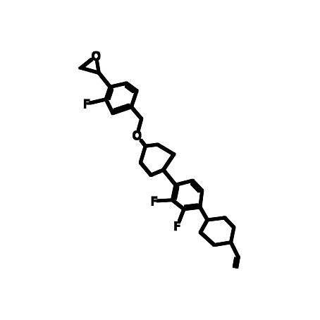 C=CC1CCC(c2ccc(C3CCC(OCc4ccc(C5CO5)c(F)c4)CC3)c(F)c2F)CC1